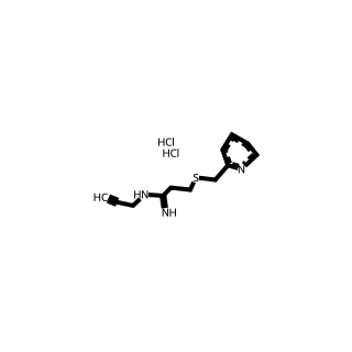 C#CCNC(=N)CCSCc1ccccn1.Cl.Cl